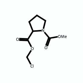 COC(=O)N1CCCC1C(=O)OCCl